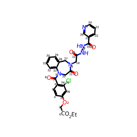 CCOC(=O)COc1ccc(C(=O)N2CC(=O)N(CC(=O)NNC(=O)c3cccnc3)Cc3ccccc32)c(Cl)c1